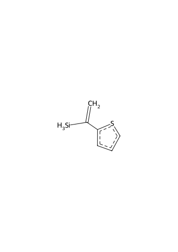 C=C([SiH3])c1cccs1